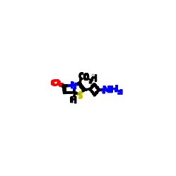 N[C@H]1C[C@@H](C2=C(C(=O)O)N3C(=O)C[C@@H]3S2)C1